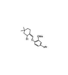 CCCc1ccc(OC=C2CCC(C)(C)CC2CC)c(OC)c1